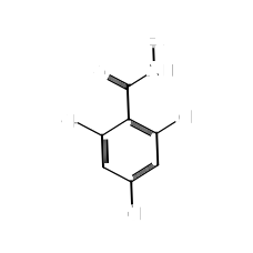 CCNC(=O)c1c(Cl)cc(Cl)cc1Cl